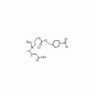 CC(=CC(=O)O)C(C)N1C(=O)[C@H]([C@H](C)OC(=O)OCc2ccc([N+](=O)[O-])cc2)[C@@H]1Cl